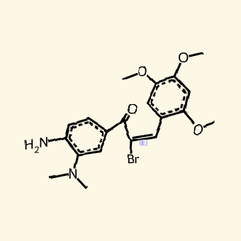 COc1cc(OC)c(OC)cc1/C=C(/Br)C(=O)c1ccc(N)c(N(C)C)c1